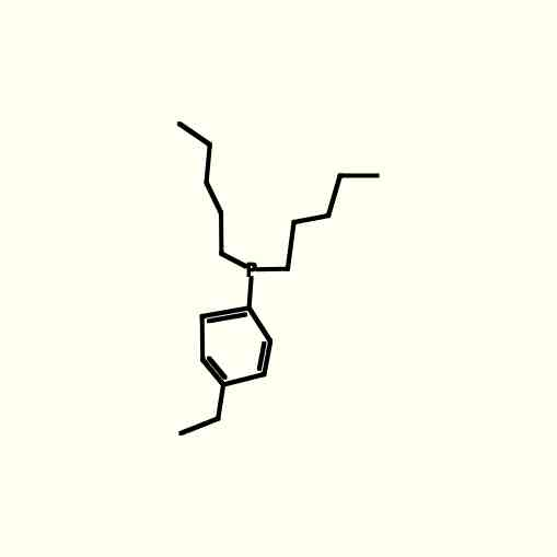 CCCCCP(CCCCC)c1ccc(CC)cc1